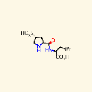 CC(C)C[C@H](NC(=O)[C@@H]1C[C@@H](S(=O)(=O)O)CN1)C(=O)O